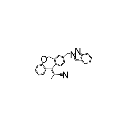 CC(C#N)=C1c2ccc(Cn3cc4ccccc4n3)cc2COc2ccccc21